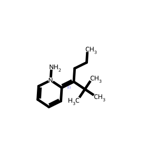 CCC/C(=C1/C=CC=CN1N)C(C)(C)C